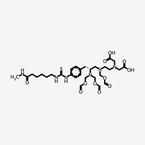 CNC(=O)CCCCCNC(=S)Nc1ccc(C[C@H](CN(CCN(CC(=O)O)CC(=O)O)COC=O)N(COC=O)COC=O)cc1